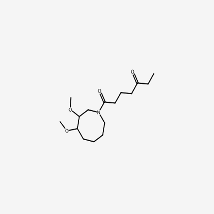 CCC(=O)CCCC(=O)N1CCCCC(OC)C(OC)C1